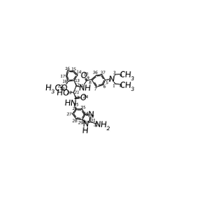 CCN(CC)c1ccc(C(=O)NC(c2ccccc2OC)C(O)C(=O)Nc2ccc3[nH]c(N)nc3c2)cc1